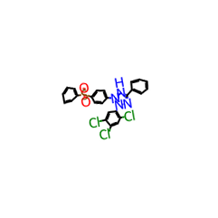 O=S(=O)(c1ccccc1)c1ccc(N2NC(c3ccccc3)=NN2c2cc(Cl)c(Cl)cc2Cl)cc1